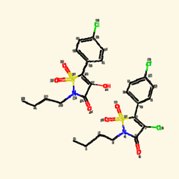 CCCCN1C(=O)C(Cl)=C(c2ccc(Cl)cc2)S1(=O)=O.CCCCN1C(=O)C(O)=C(c2ccc(Cl)cc2)S1(=O)=O